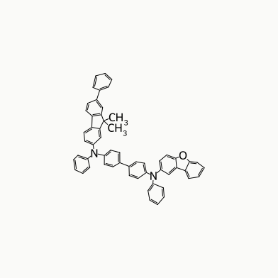 CC1(C)c2cc(-c3ccccc3)ccc2-c2ccc(N(c3ccccc3)c3ccc(-c4ccc(N(c5ccccc5)c5ccc6oc7ccccc7c6c5)cc4)cc3)cc21